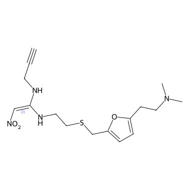 C#CCN/C(=C/[N+](=O)[O-])NCCSCc1ccc(CCN(C)C)o1